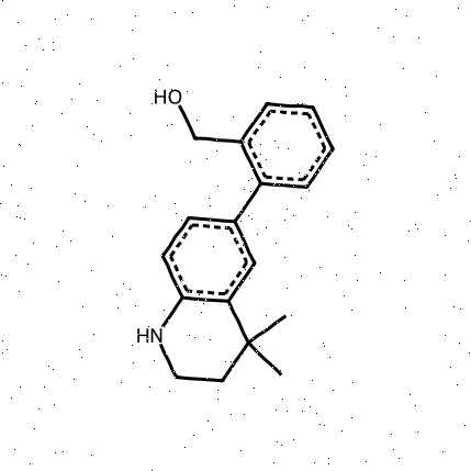 CC1(C)CCNc2ccc(-c3ccccc3CO)cc21